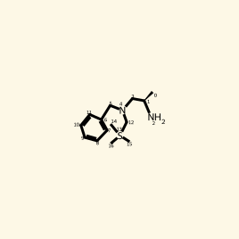 C[C@@H](N)CN(Cc1ccccc1)CS(C)(C)C